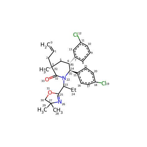 C=CC[C@@]1(C)C[C@H](c2cccc(Cl)c2)[C@@H](c2ccc(Cl)cc2)N(C(CC)C2=NC(C)(C)CO2)C1=O